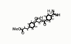 COC(=O)CCc1ccc(C(O)CNC(=O)c2ccc(C(=N)N)cc2)cc1